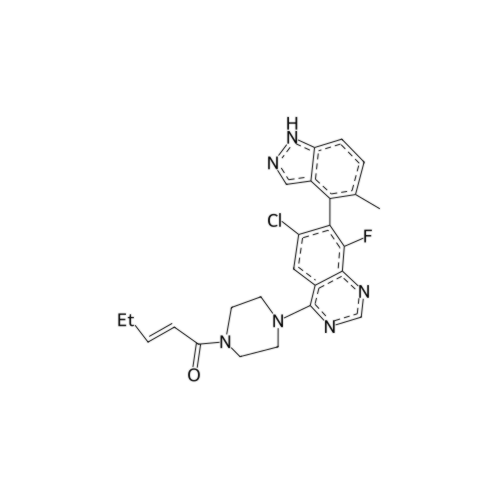 CC/C=C/C(=O)N1CCN(c2ncnc3c(F)c(-c4c(C)ccc5[nH]ncc45)c(Cl)cc23)CC1